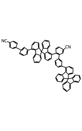 N#Cc1ccc(-c2cccc(-c3cccc4c3-c3ccccc3C43c4ccccc4-c4c(-c5ccc(C#N)cc5-c5cccc(-c6cccc7c6-c6ccccc6C76c7ccccc7-c7ccccc76)c5)cccc43)c2)cc1